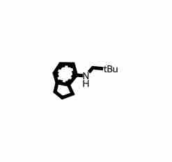 CC(C)(C)CNc1cccc2c1CCC2